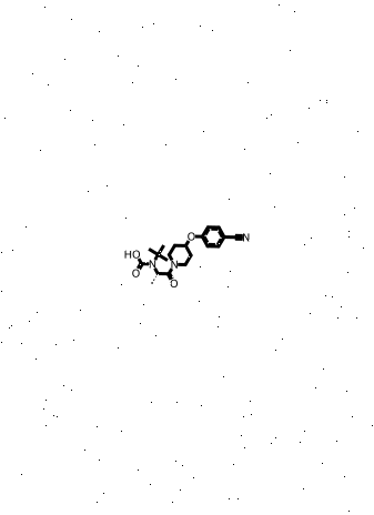 C[C@@H](C(=O)N1CCC(Oc2ccc(C#N)cc2)CC1)N(C(=O)O)C(C)(C)C